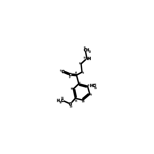 CNCCC(=C=O)c1cccc(OC)c1.Cl